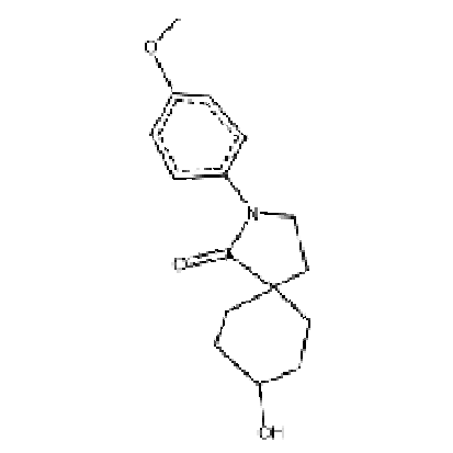 COc1ccc(N2CCC3(CCC(O)CC3)C2=O)cc1